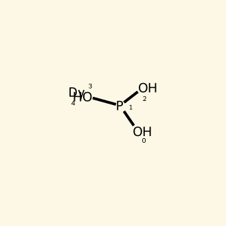 OP(O)O.[Dy]